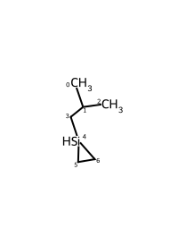 CC(C)C[SiH]1CC1